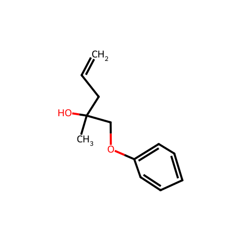 C=CCC(C)(O)COc1ccccc1